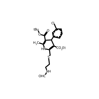 CCOC(=O)C1=C(CSCCNC=O)NC(C)=C(C(=O)OC(C)(C)C)C1c1cccc(Cl)c1